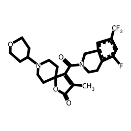 CC1=C(C(=O)N2CCc3c(F)cc(C(F)(F)F)cc3C2)C2(CCN(C3CCOCC3)CC2)OC1=O